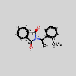 COc1ccccc1C(C(C)C)N1C(=O)c2ccccc2C1=O